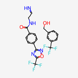 N=CCNC(=O)c1ccc(-c2noc(C(F)(F)F)n2)cc1.OCc1cccc(C(F)(F)F)c1